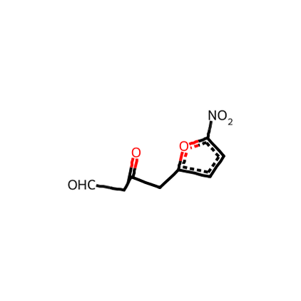 O=CCC(=O)Cc1ccc([N+](=O)[O-])o1